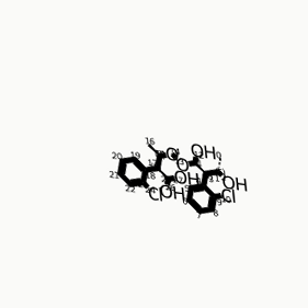 C[C@H](O)[C@@H](c1ccccc1Cl)C(O)OO[C@H](C)[C@H](c1ccccc1Cl)C(O)O